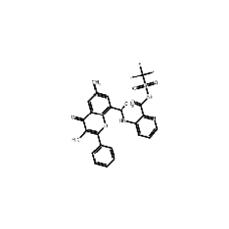 Cc1cc([C@@H](C)Nc2cccnc2C(=O)NS(=O)(=O)C(F)(F)F)c2oc(-c3ccccc3)c(C)c(=O)c2c1